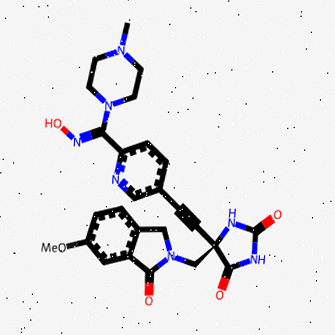 COc1ccc2c(c1)C(=O)N(C[C@@]1(C#Cc3ccc(C(=NO)N4CCN(C)CC4)nc3)NC(=O)NC1=O)C2